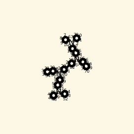 c1ccc(N(c2ccccc2)c2ccc3cc(N(c4ccc(-c5ccc(N(c6ccc7ccccc7c6)c6ccc7cc(N(c8ccccc8)c8ccccc8)ccc7c6)cc5)cc4)c4ccc5ccccc5c4)ccc3c2)cc1